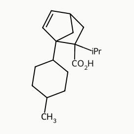 CC1CCC(C23C=CC(C2)CC3(C(=O)O)C(C)C)CC1